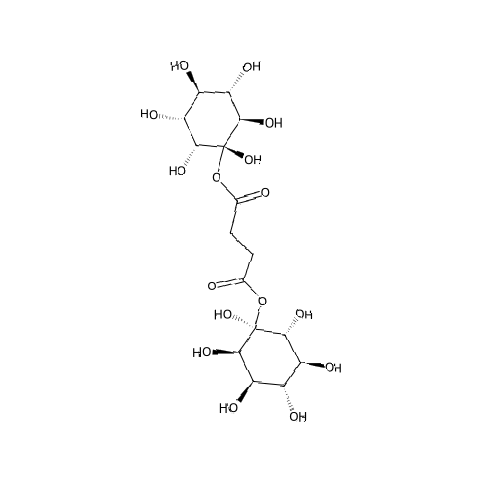 O=C(CCC(=O)O[C@]1(O)[C@H](O)[C@H](O)[C@@H](O)[C@H](O)[C@H]1O)O[C@]1(O)[C@H](O)[C@H](O)[C@@H](O)[C@H](O)[C@H]1O